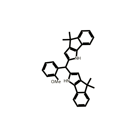 COc1ccccc1C(c1cc2c([nH]1)-c1ccccc1C2(C)C)c1cc2c([nH]1)-c1ccccc1C2(C)C